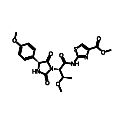 COC(=O)c1csc(NC(=O)[C@H]([C@@H](C)OC)N2C(=O)N[C@H](c3ccc(OC)cc3)C2=O)n1